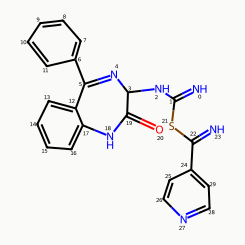 N=C(NC1N=C(c2ccccc2)c2ccccc2NC1=O)SC(=N)c1ccncc1